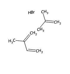 Br.C=C(C)C.C=CC(=C)C